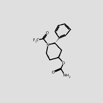 NC(=O)OC1CCN(C(=O)C(F)(F)F)[C@H](c2ccccc2)C1